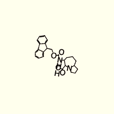 O=C(NC1CCCC2CCCN2C1C(=O)O)OCC1c2ccccc2-c2ccccc21